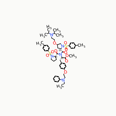 CCN(CCOc1ccc(C[C@@H](C(=O)OC)N(C(=O)[C@@H]2CCCN2S(=O)(=O)c2ccc(C)cc2)C(=O)[C@@H]2CC(OCCN(C(C)C)C(C)C)CN2S(=O)(=O)c2ccc(C)cc2)cc1)c1ccccc1